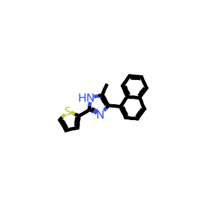 Cc1[nH]c(-c2cccs2)nc1-c1cccc2ccccc12